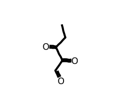 CCC(=O)C(=O)C=O